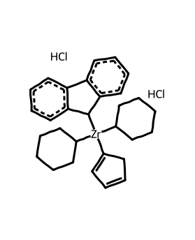 C1=CC[C]([Zr]([CH]2CCCCC2)([CH]2CCCCC2)[CH]2c3ccccc3-c3ccccc32)=C1.Cl.Cl